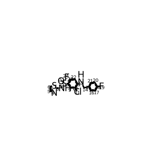 [O-][S+](Nc1nccs1)c1cc(Cl)c(NCc2ccc(F)cc2)cc1F